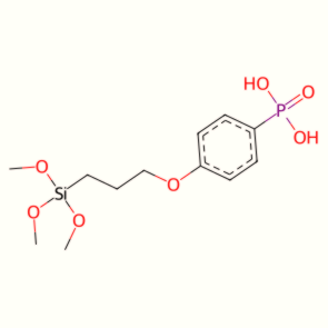 CO[Si](CCCOc1ccc(P(=O)(O)O)cc1)(OC)OC